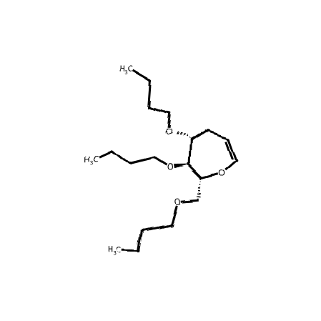 CCCCOC[C@H]1OC=CC[C@@H](OCCCC)[C@@H]1OCCCC